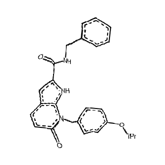 CC(C)Oc1ccc(-n2c(=O)ccc3cc(C(=O)NCc4ccccc4)[nH]c32)cc1